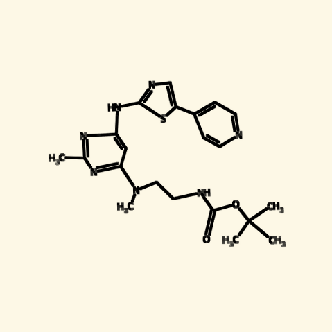 Cc1nc(Nc2ncc(-c3ccncc3)s2)cc(N(C)CCNC(=O)OC(C)(C)C)n1